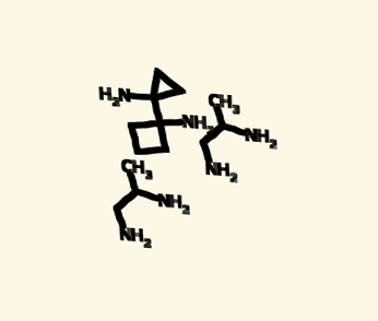 CC(N)CN.CC(N)CN.NC1(C2(N)CC2)CCC1